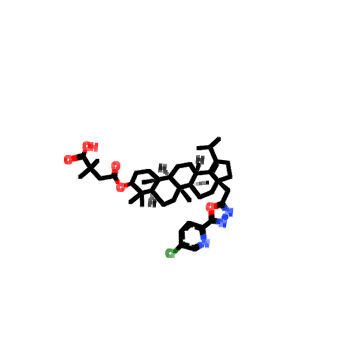 CC(C)C1=C2[C@H]3CC[C@@H]4[C@@]5(C)CC[C@H](OC(=O)CC(C)(C)C(=O)O)C(C)(C)[C@@H]5CC[C@@]4(C)[C@]3(C)CC[C@@]2(Cc2nnc(-c3ccc(Cl)cn3)o2)CC1